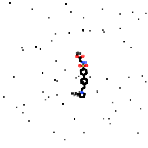 C[C@@H]1CCCN1CCc1ccc(C2C=CC(S(=O)(=O)NCC(=O)OC(C)(C)C)=CC2)cc1